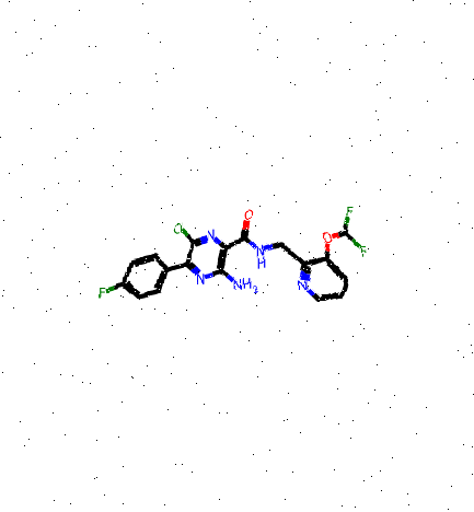 Nc1nc(-c2ccc(F)cc2)c(Cl)nc1C(=O)NCc1ncccc1OC(F)F